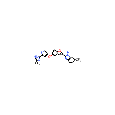 FC(F)(F)c1ccc2nc(C3C4Oc5ccc(Oc6ccnc(-c7nc(C(F)(F)F)c[nH]7)c6)cc5C43)[nH]c2c1